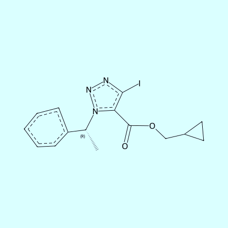 C[C@H](c1ccccc1)n1nnc(I)c1C(=O)OCC1CC1